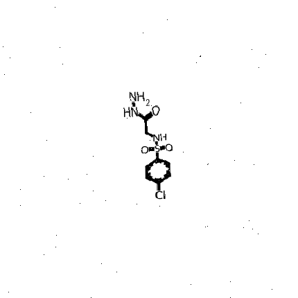 NNC(=O)CNS(=O)(=O)c1ccc(Cl)cc1